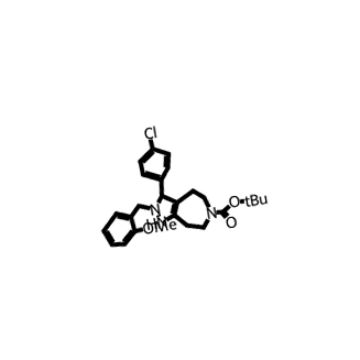 COc1ccccc1CN1NC2=C(CCN(C(=O)OC(C)(C)C)CC2)C1c1ccc(Cl)cc1